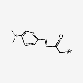 CC(C)CC(=O)C=Cc1ccc(N(C)C)cc1